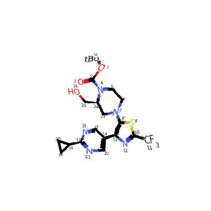 CC(C)(C)OC(=O)N1CCN(c2sc(C(F)(F)F)nc2-c2cnc(C3CC3)nc2)C[C@H]1CO